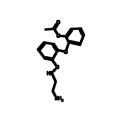 CC(=O)Oc1ccccc1Oc1ccccc1ONCCN